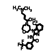 Cc1cccc2nc(NC(=O)c3cccc(C(F)(F)F)c3)n([C@@H]3COCCN(C(=O)C=CCN(C)C)C3)c12